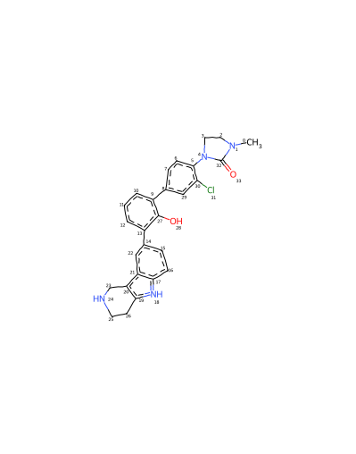 CN1CCN(c2ccc(-c3cccc(-c4ccc5[nH]c6c(c5c4)CNCC6)c3O)cc2Cl)C1=O